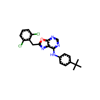 CC(C)(C)c1ccc(Nc2ncnc3oc(Cc4c(Cl)cccc4Cl)nc23)cc1